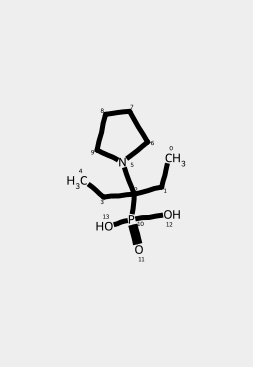 CCC(CC)(N1CCCC1)P(=O)(O)O